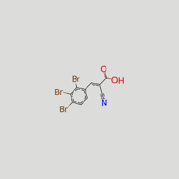 N#C/C(=C\c1ccc(Br)c(Br)c1Br)C(=O)O